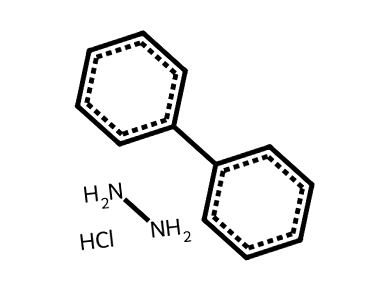 Cl.NN.c1ccc(-c2ccccc2)cc1